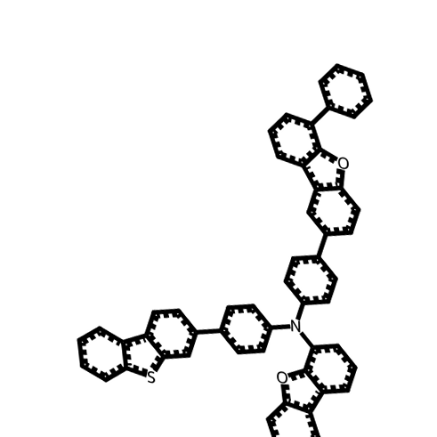 c1ccc(-c2cccc3c2oc2ccc(-c4ccc(N(c5ccc(-c6ccc7c(c6)sc6ccccc67)cc5)c5cccc6c5oc5ccccc56)cc4)cc23)cc1